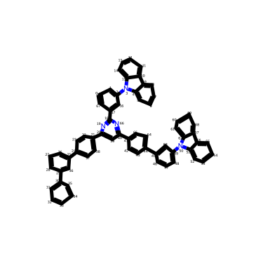 c1cc(-n2c3ccccc3c3ccccc32)cc(-c2nc(-c3ccc(-c4cccc(-c5ccccc5)c4)cc3)cc(-c3ccc(-c4cccc(-n5c6ccccc6c6ccccc65)c4)cc3)n2)c#1